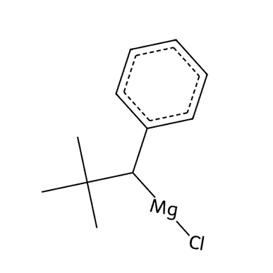 CC(C)(C)[CH]([Mg][Cl])c1ccccc1